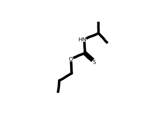 CCCOC(=S)NC(C)C